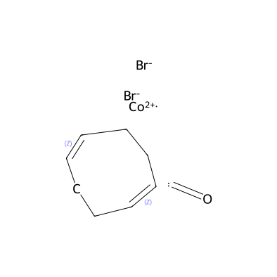 C1=C\CC/C=C\CC/1.[Br-].[Br-].[C]=O.[Co+2]